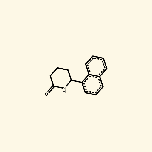 O=C1CCCC(c2cccc3ccccc23)N1